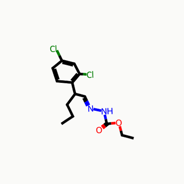 CCCC(C=NNC(=O)OCC)c1ccc(Cl)cc1Cl